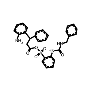 Nc1ccccc1C(CC(=O)OS(=O)(=O)c1ccccc1NC(=O)NCc1ccccc1)c1ccccc1